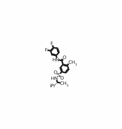 Cc1ccc(S(=O)(=O)N[C@H](C)C(C)C)cc1C(=O)Nc1ccc(F)c(F)c1